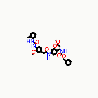 COC(=O)C[C@@H](NC(=O)OCc1ccccc1)c1ccc(NC(=O)Cc2ccc(NC(=O)Nc3ccccc3C)c(OC)c2)cc1